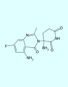 BC1(n2c(C)nc3cc(F)cc(N)c3c2=O)CCC(=O)NC1=O